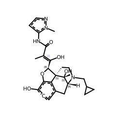 C/C(C(=O)Nc1ccnn1C)=C(/O)[C@@H]1Oc2c(O)ccc3c2[C@@]12CCN(CC1CC1)[C@H](C3)[C@@]2(C)O